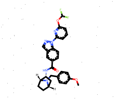 COc1ccc(CN2[C@H]3CC[C@@H]2[C@H](NC(=O)c2ccc4c(cnn4-c4cccc(OC(F)F)n4)c2)C3)cc1